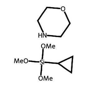 C1COCCN1.CO[Si](OC)(OC)C1CC1